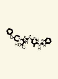 Cc1cc(N(C)c2nc(C(=O)O)c(N3CCC(Oc4ccccc4)CC3)s2)nnc1Nc1nc2ccccc2s1